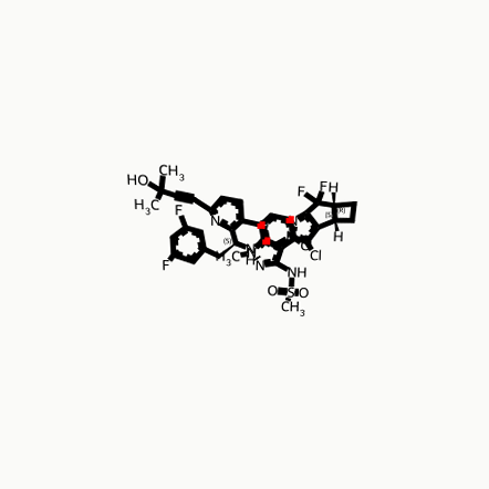 Cn1nc(NS(C)(=O)=O)c2c(Cl)ccc(-c3ccc(C#CC(C)(C)O)nc3[C@H](Cc3cc(F)cc(F)c3)NC(=O)Cn3nc4c(c3Cl)[C@H]3CC[C@H]3C4(F)F)c21